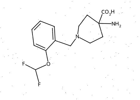 NC1(C(=O)O)CCN(Cc2ccccc2OC(F)F)CC1